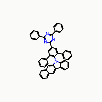 c1ccc(-c2nc(-c3ccccc3)nc(-c3cc(-c4ccccc4)c(-n4c5ccccc5c5cc6ccccc6cc54)c(-c4ccccc4)c3)n2)cc1